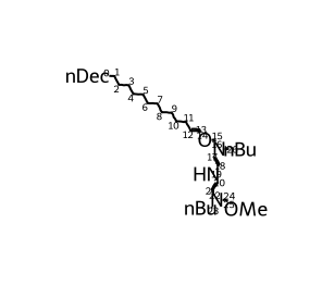 CCCCCCCCCCCCCCCCCCCCCC=COCN(C=CNC=CN(CCCC)COC)CCCC